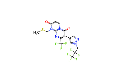 CSCn1c(=O)ccn2c(=O)c(-c3cnn(CC(F)(F)C(F)(F)F)c3)c(C(F)(F)F)nc12